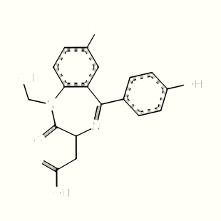 CCN1C(=O)C(CC(=O)O)N=C(c2ccc(O)cc2)c2cc(Cl)ccc21